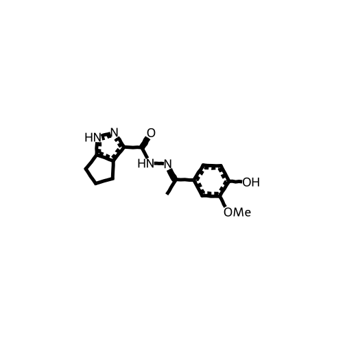 COc1cc(/C(C)=N/NC(=O)c2n[nH]c3c2CCC3)ccc1O